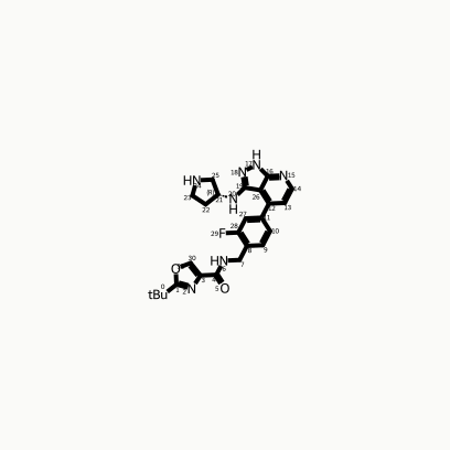 CC(C)(C)c1nc(C(=O)NCc2ccc(-c3ccnc4[nH]nc(N[C@@H]5CCNC5)c34)cc2F)co1